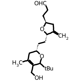 C=C1C[C@H](CCC=O)O[C@H]1CC[C@H]1CC(C)=C(CO)C(C(C)(C)C)O1